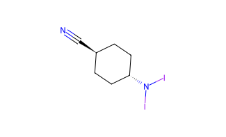 N#C[C@H]1CC[C@H](N(I)I)CC1